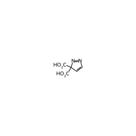 O=C(O)C1(C(=O)O)C=CN=N1